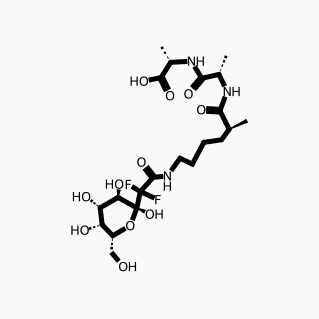 C[C@H](NC(=O)[C@H](C)NC(=O)[C@@H](C)CCCCNC(=O)C(F)(F)[C@]1(O)O[C@H](CO)[C@H](O)[C@H](O)[C@H]1O)C(=O)O